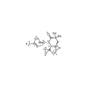 [2H]C1([2H])C[C@]2(CO2)[C@@H](C2(C)O[C@@H]2C/C=C(\C)C(F)(F)F)[C@H](OC)C1=O